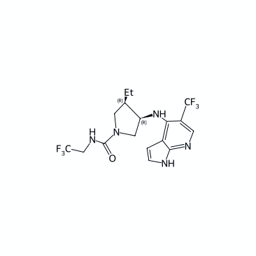 CC[C@@H]1CN(C(=O)NCC(F)(F)F)C[C@@H]1Nc1c(C(F)(F)F)cnc2[nH]ccc12